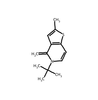 C=C1c2cc(C)sc2C=CN1C(C)(C)C